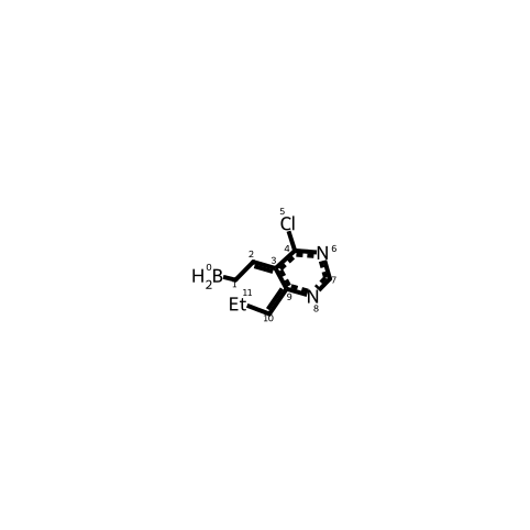 BC/C=c1/c(Cl)ncn/c1=C/CC